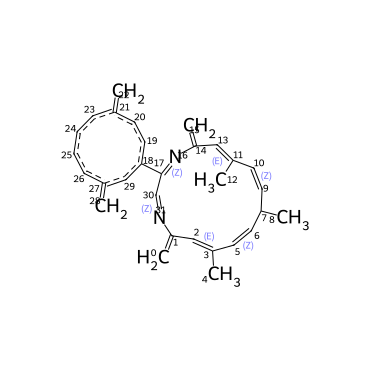 C=C1/C=C(C)/C=C\C(C)/C=C\C(C)=C\C(=C)/N=C(c2ccc(=C)ccccc(=C)c2)\C=N/1